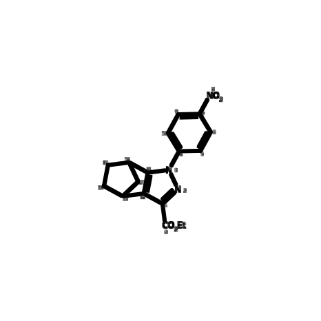 CCOC(=O)c1nn(-c2ccc([N+](=O)[O-])cc2)c2c1C1CCC2C1